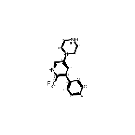 FC(F)(F)c1ncc(N2CCNCC2)cc1-c1ccccc1